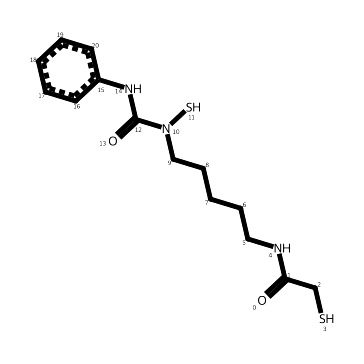 O=C(CS)NCCCCCN(S)C(=O)Nc1ccccc1